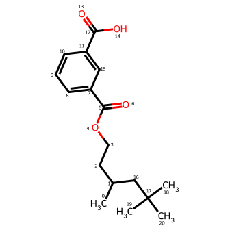 CC(CCOC(=O)c1cccc(C(=O)O)c1)CC(C)(C)C